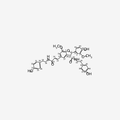 COc1cc([C@@H]2Oc3c(OC)cc(/C=C/C(=O)NCCc4ccc(O)cc4)cc3[C@H]2C(=O)NCCc2ccc(O)cc2)ccc1O